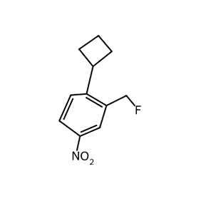 O=[N+]([O-])c1ccc(C2CCC2)c(CF)c1